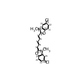 CN1C(=CC=CC=Cc2oc3ccc(Cl)cc3[n+]2C)Oc2ccc(Cl)cc21